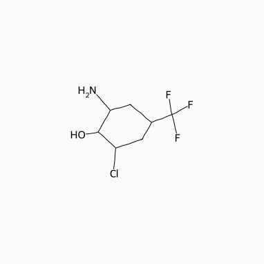 NC1CC(C(F)(F)F)CC(Cl)C1O